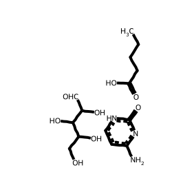 CCCCC(=O)O.Nc1cc[nH]c(=O)n1.O=CC(O)C(O)C(O)CO